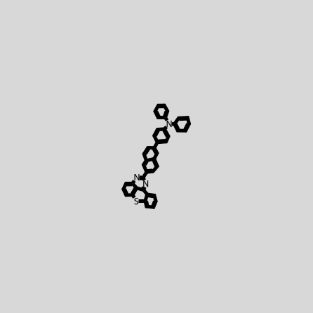 c1ccc(N(c2ccccc2)c2ccc(-c3ccc4cc(-c5nc6c7c(cccc7n5)Sc5ccccc5-6)ccc4c3)cc2)cc1